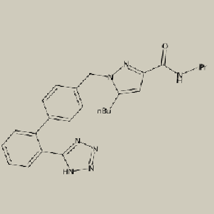 CCCCc1cc(C(=O)NC(C)C)nn1Cc1ccc(-c2ccccc2-c2nnn[nH]2)cc1